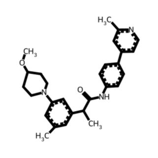 COC1CCN(c2cc(C)cc(C(C)C(=O)Nc3ccc(-c4ccnc(C)c4)cc3)c2)CC1